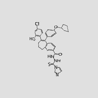 O=C(NNC(=S)n1ccnc1)c1ccc2c(c1)CCCC(c1ccc(Cl)cc1O)=C2c1ccc(OC2CCCC2)cc1